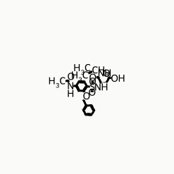 CC(=O)Nc1ccc(S(=O)(=O)N[C@@H](CC(=O)O)C(=N)OC(C)(C)C)c(OCc2ccccc2)c1